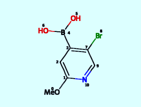 COc1cc(B(O)O)c(Br)cn1